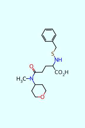 CN(C(=O)CCC(NSCc1ccccc1)C(=O)O)C1CCOCC1